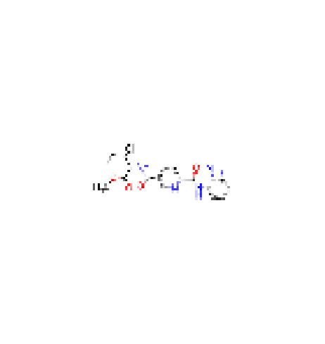 COC(=O)C(NC(=O)c1ccc(C(=O)Nc2ccccc2N)nc1)C(C)C